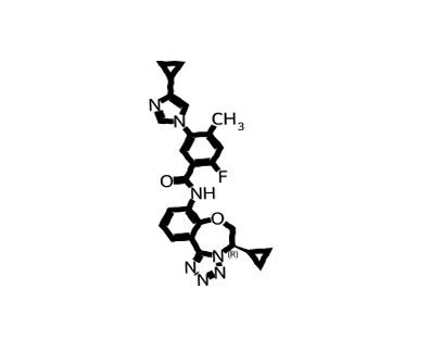 Cc1cc(F)c(C(=O)Nc2cccc3c2OC[C@@H](C2CC2)n2nnnc2-3)cc1-n1cnc(C2CC2)c1